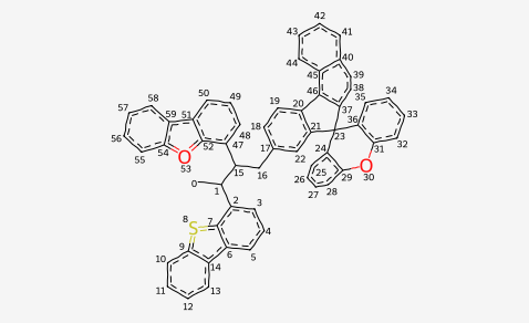 CC(c1cccc2c1sc1ccccc12)C(Cc1ccc2c(c1)C1(c3ccccc3Oc3ccccc31)c1ccc3ccccc3c1-2)c1cccc2c1oc1ccccc12